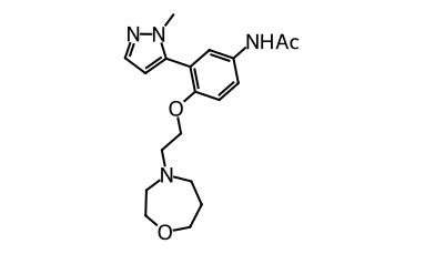 CC(=O)Nc1ccc(OCCN2CCCOCC2)c(-c2ccnn2C)c1